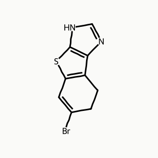 BrC1=Cc2sc3[nH]cnc3c2CC1